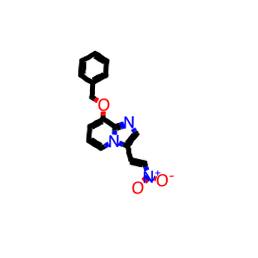 O=[N+]([O-])C=Cc1cnc2c(OCc3ccccc3)cccn12